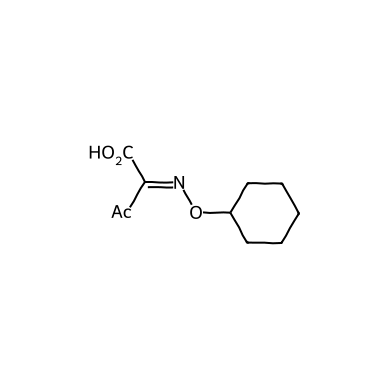 CC(=O)/C(=N\OC1CCCCC1)C(=O)O